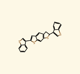 c1ccc2c(-c3cc4cc5c(cc4s3)SC(c3csc4ccccc34)C5)csc2c1